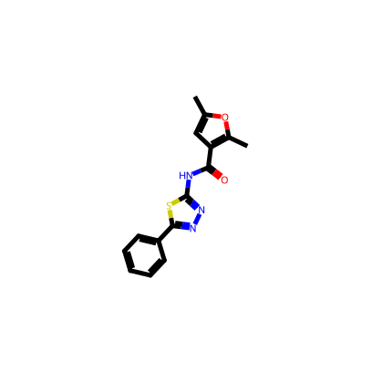 Cc1cc(C(=O)Nc2nnc(-c3ccccc3)s2)c(C)o1